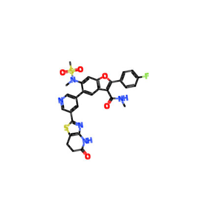 CNC(=O)c1c(-c2ccc(F)cc2)oc2cc(N(C)S(C)(=O)=O)c(-c3cncc(-c4nc5c(s4)CCC(=O)N5)c3)cc12